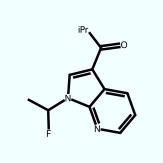 CC(C)C(=O)c1cn(C(C)F)c2ncccc12